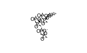 CP(=O)([O-])CP(C)(=O)[O-].CP(=O)([O-])CP(C)(=O)[O-].CP(=O)([O-])CP(C)(=O)[O-].[Al+3].[Al+3]